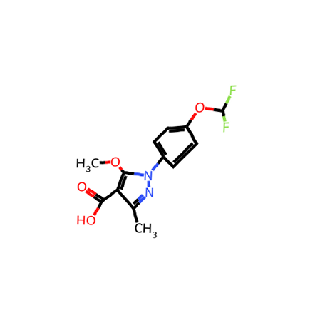 COc1c(C(=O)O)c(C)nn1-c1ccc(OC(F)F)cc1